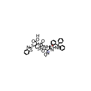 CO/N=C(\C(=O)NC1C(=O)N2C(C(=O)O)=C(Sc3nc4ccccc4s3)CS[C@@H]12)c1csc(NC(c2ccccc2)(c2ccccc2)c2ccccc2)n1